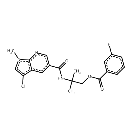 Cn1cc(Cl)c2cc(C(=O)NC(C)(C)COC(=O)c3cccc(F)c3)cnc21